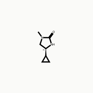 CN1C[C@H](C2CC2)NC1=O